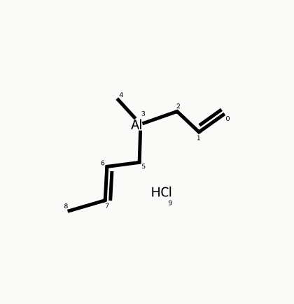 C=C[CH2][Al]([CH3])[CH2]C=CC.Cl